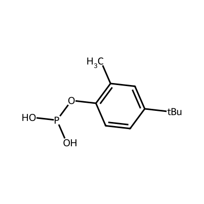 Cc1cc(C(C)(C)C)ccc1OP(O)O